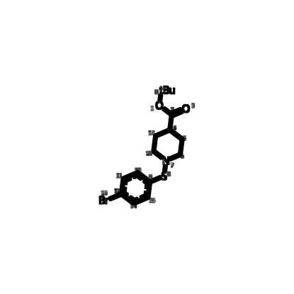 CC(C)(C)OC(=O)C1CCN(Sc2ccc(Br)cc2)CC1